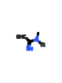 CCN(C)C(=N)C=O